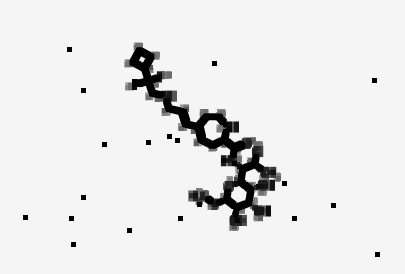 CS[C@H]1O[C@H]([C@H](NC(=O)C2CC=C(/C=C/CNCC(F)(F)C3CCC3)CCN2)[C@H](C)Cl)[C@H](O)[C@H](O)[C@H]1O